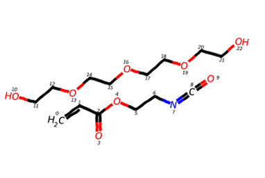 C=CC(=O)OCCN=C=O.OCCOCCOCCOCCO